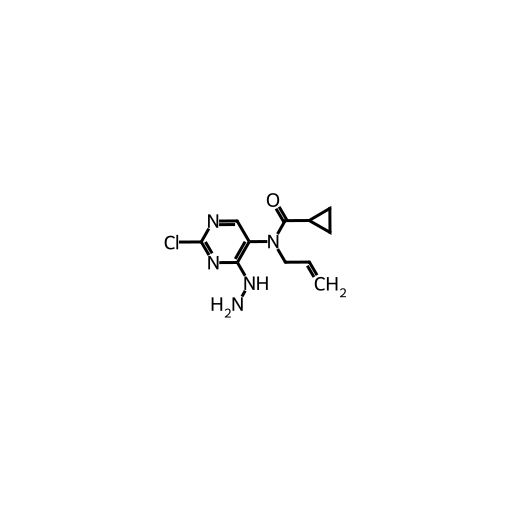 C=CCN(C(=O)C1CC1)c1cnc(Cl)nc1NN